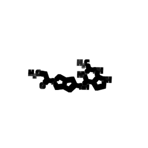 C=CC(=O)N1C=C2C=C(NC3NC(C)NC4NC=CC43)C=C2C1